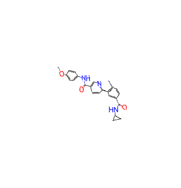 COc1ccc(NC(=O)c2ccc(-c3cc(C(=O)NC4CC4)ccc3C)nc2)cc1